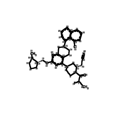 CC(F)C(=O)N1CCN(c2nc(OC[C@@H]3CCCN3C)nc3c2CCN(c2cccc4cccc(Cl)c24)C3)C[C@@H]1CC#N